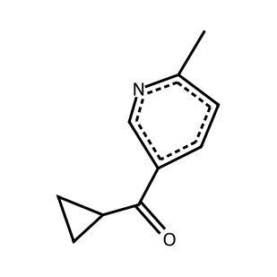 Cc1ccc(C(=O)C2CC2)cn1